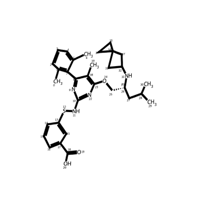 Cc1cccc(C)c1-c1nc(NSc2cccc(C(=O)O)c2)nc(OC[C@@H](CC(C)C)NC2CC3(CC3)C2)c1C